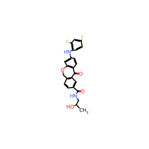 CC(O)CNC(=O)c1ccc2c(c1)C(=O)c1ccc(Nc3ccc(F)cc3F)cc1OC2